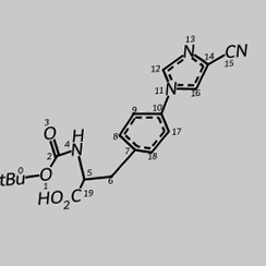 CC(C)(C)OC(=O)NC(Cc1ccc(-n2cnc(C#N)c2)cc1)C(=O)O